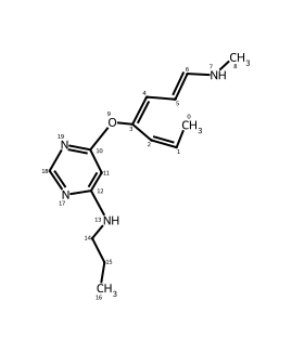 C\C=C/C(=C\C=C\NC)Oc1cc(NCCC)ncn1